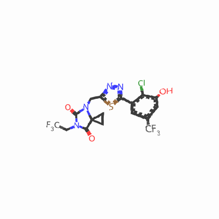 O=C1N(CC(F)(F)F)C(=O)C2(CC2)N1Cc1nnc(-c2cc(C(F)(F)F)cc(O)c2Cl)s1